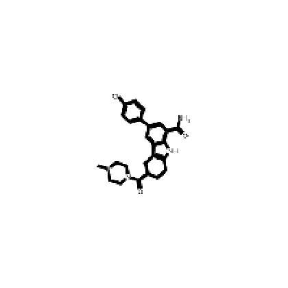 CN1CCN(C(=O)C2CCc3[nH]c4c(C(N)=O)cc(-c5ccc(Cl)cc5)cc4c3C2)CC1